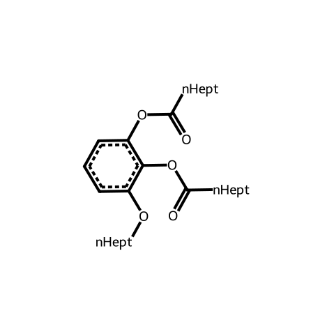 CCCCCCCOc1cccc(OC(=O)CCCCCCC)c1OC(=O)CCCCCCC